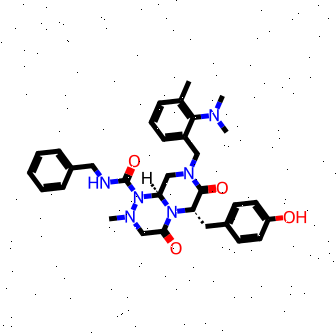 Cc1cccc(CN2C[C@H]3N(C(=O)CN(C)N3C(=O)NCc3ccccc3)[C@@H](Cc3ccc(O)cc3)C2=O)c1N(C)C